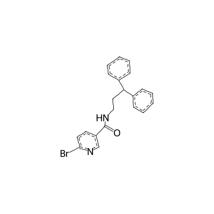 O=C(NCCC(c1ccccc1)c1ccccc1)c1ccc(Br)nc1